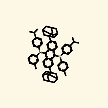 Cc1ccc(N(c2ccc(C(C)C)cc2)c2c3ccc(C45CC6CC(CC(C6)C4)C5)cc3c(N(c3ccc(C(C)C)cc3)c3cccc(C)c3)c3ccc(C45CC6CC(CC(C6)C4)C5)cc23)cc1